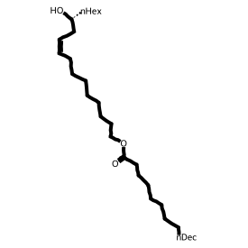 CCCCCCCCCCCCCCCCCC(=O)OCCCCCCCC/C=C\C[C@H](O)CCCCCC